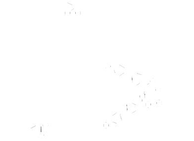 C=CC(=O)OCCCCCCCCCCOc1ccc(-c2ccc(C(=O)O[C@@H]3OCCO[C@H]3OC(=O)c3ccc(-c4ccc(OCCCCCCCCCCOC(=O)C=C)cc4)cc3)cc2)cc1